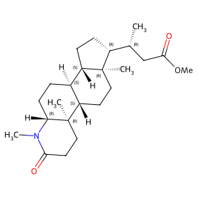 COC(=O)C[C@@H](C)[C@H]1CC[C@H]2[C@@H]3CC[C@H]4N(C)C(=O)CC[C@]4(C)[C@H]3CC[C@]12C